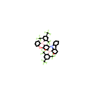 FC(F)(F)c1cc(C(F)(F)F)c(B2c3ccccc3Oc3cc4c(cc32)-n2c3ccccc3c3cccc(c32)B4c2c(C(F)(F)F)cc(C(F)(F)F)cc2C(F)(F)F)c(C(F)(F)F)c1